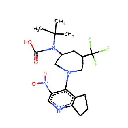 CC(C)(C)N(C(=O)O)C1CC(C(F)(F)F)CN(c2c([N+](=O)[O-])cnc3c2CCC3)C1